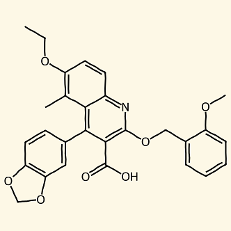 CCOc1ccc2nc(OCc3ccccc3OC)c(C(=O)O)c(-c3ccc4c(c3)OCO4)c2c1C